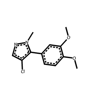 COc1ccc(-c2c(Cl)cnn2C)cc1OC